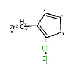 CC1=CCC=C1.[Cl-].[Cl-].[Zr+2]